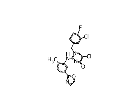 Cc1ccc(-c2ncco2)cc1Nc1nc(=O)c(Cl)cn1Cc1ccc(F)c(Cl)c1